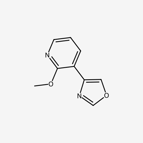 COc1ncccc1-c1cocn1